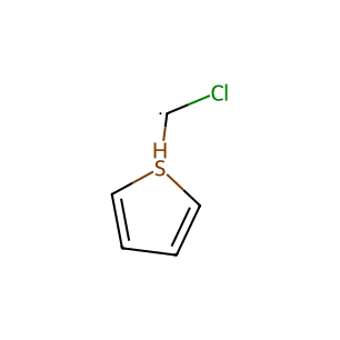 Cl[CH][SH]1C=CC=C1